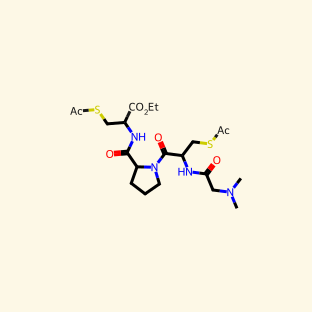 CCOC(=O)C(CSC(C)=O)NC(=O)C1CCCN1C(=O)C(CSC(C)=O)NC(=O)CN(C)C